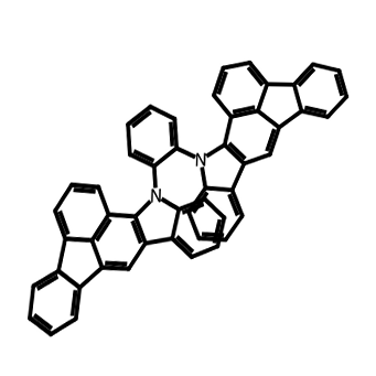 c1ccc2c(c1)-c1cccc3c1c-2cc1c2ccccc2n(-c2ccccc2-n2c4ccccc4c4cc5c6c(cccc6c42)-c2ccccc2-5)c31